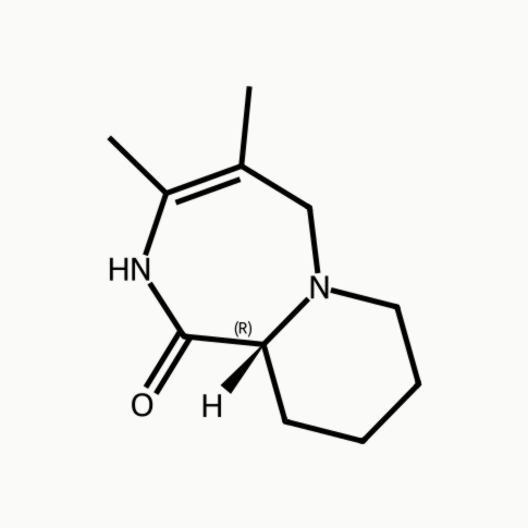 CC1=C(C)NC(=O)[C@H]2CCCCN2C1